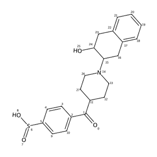 O=C(c1ccc(S(=O)O)cc1)C1CCN(C2Cc3ccccc3CC2O)CC1